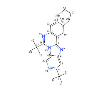 CC(C)(C)c1cc2nc3c4cc5c(cc4nc(C(C)(C)C)n3c2cn1)C1CCC5C1